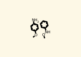 CONc1ccccc1.COc1ccc(N)cc1